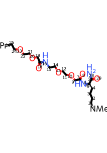 CNCCCC[C@@H](NC(=O)COCCOCCNC(=O)COCCOCCC(C)C)C(N)=O